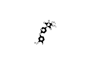 Cc1cc(Oc2ccc(N3C(=O)NC(C)(C)C3=O)cn2)ccc1F